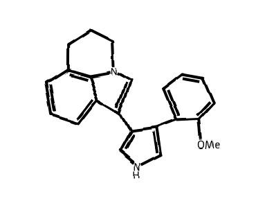 COc1ccccc1-c1c[nH]cc1-c1cn2c3c(cccc13)CCC2